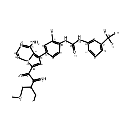 CCC(COC)C(=N)C(=O)c1cc(-c2ccc(NC(=O)Nc3cccc(C(F)(F)F)c3)c(F)c2)c2c(N)ncnn12